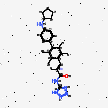 C/C(=C\c1c(C)c(C)c(-c2ccc(NC3CCCC3)cc2)c(C)c1C)C(=O)Nc1nnn[nH]1